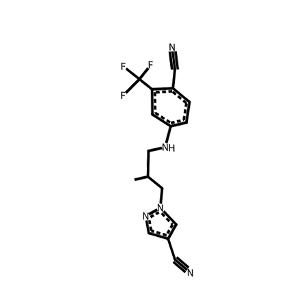 CC(CNc1ccc(C#N)c(C(F)(F)F)c1)Cn1cc(C#N)cn1